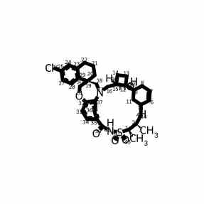 C[C@@H]1[C@@H](C)C[C@H]2C=CC[C@](O)(C2)[C@@H]2CC[C@H]2CN2C[C@@]3(CCCc4cc(Cl)ccc43)COc3ccc(cc32)C(=O)NS1(=O)=O